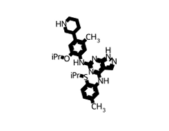 Cc1ccc(SC(C)C)c(Nc2nc(Nc3cc(C)c(C4CCCNC4)cc3OC(C)C)nc3[nH]ncc23)c1